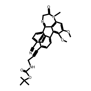 COc1cc2c(c(-c3ccc(C#CCNC(=O)OC(C)(C)C)cc3)c1OC)C(c1ccc(C#N)cc1)=NCC(=O)N2C